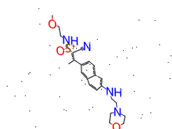 COCCN[S+]([O-])/C(C#N)=C(\C)c1ccc2cc(NCCN3CCOCC3)ccc2c1